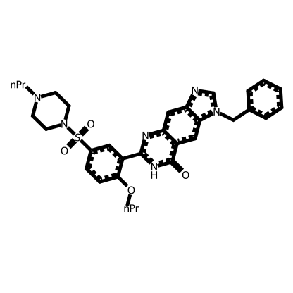 CCCOc1ccc(S(=O)(=O)N2CCN(CCC)CC2)cc1-c1nc2cc3ncn(Cc4ccccc4)c3cc2c(=O)[nH]1